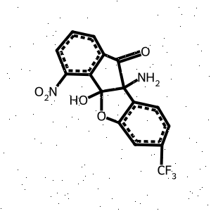 NC12C(=O)c3cccc([N+](=O)[O-])c3C1(O)Oc1cc(C(F)(F)F)ccc12